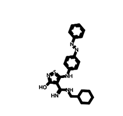 N=C(NCC1CCCCC1)c1c(O)nsc1Nc1ccc(/N=N/c2ccccc2)cc1